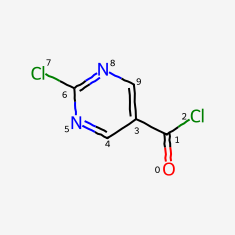 O=C(Cl)c1cnc(Cl)nc1